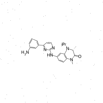 CC(C)N1c2cc(Nc3nccc(-c4cccc(N)c4)n3)ccc2N(C)C(=O)[C@H]1C